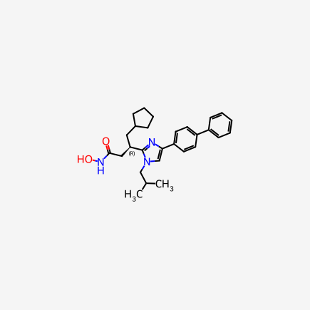 CC(C)Cn1cc(-c2ccc(-c3ccccc3)cc2)nc1[C@@H](CC(=O)NO)CC1CCCC1